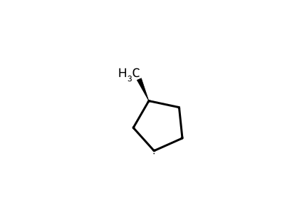 C[C@@H]1C[CH]CC1